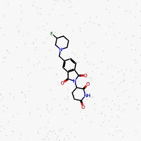 O=C1CCC(N2C(=O)c3ccc(CN4CCCC(F)C4)cc3C2=O)C(=O)N1